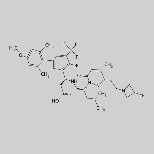 COc1cc(C)c(-c2cc([C@H](CC(=O)O)NC[C@H](CC(C)C)n3nc(CCN4CC(F)C4)c(C)cc3=O)c(F)c(C(F)(F)F)c2)c(C)c1